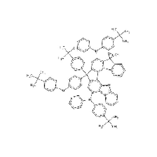 CC(C)(C)c1ccc(Oc2ccc(C3(c4ccc(C(C)(C)C)cc4)c4cc(N(c5ccccc5)c5ccc(C(C)(C)C)cc5)c5c(c4-c4c3cc(N(c3ccccc3)c3ccc(C(C)(C)C)cc3)c3c4oc4ccccc43)-c3ccccc3C5(C)C)cc2)cc1